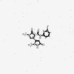 CN1C[C@H](C2=CC(Cl)NN2C)[C@@H](C(=O)Nc2cccc(F)n2)C1=O